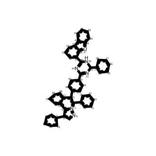 c1ccc(-c2cnn3c(-c4ccccc4)c(-c4ccc(C5=NC(c6ccccc6)NC(c6cccc7c6oc6ccccc67)=N5)cc4)c4ccccc4c23)cc1